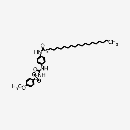 CCCCCCCCCCCCCCCCCCSC(=O)Nc1ccc(NC(=O)NS(=O)(=O)c2ccc(OC)cc2)cc1